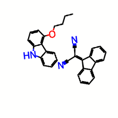 CCCCOc1cccc2[nH]c3ccccc3c12.N#CC(C#N)=C1c2ccccc2-c2ccccc21